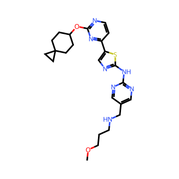 COCCCNCc1cnc(Nc2ncc(-c3ccnc(OC4CCC5(CC4)CC5)n3)s2)nc1